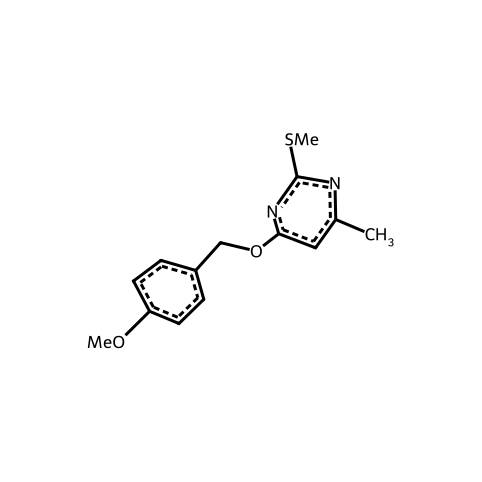 COc1ccc(COc2cc(C)nc(SC)n2)cc1